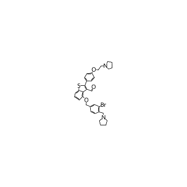 O=Cc1c(-c2ccc(OCCN3CCCC3)cc2)sc2cccc(OCc3ccc(CN4CCCC4)c(Br)c3)c12